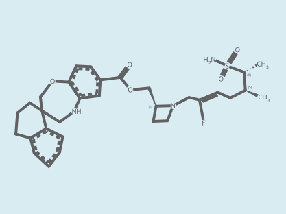 C[C@H]([C@@H](C)CC=C(F)CN1CC[C@H]1COC(=O)c1ccc2c(c1)NCC1(CCCc3ccccc31)CO2)S(N)(=O)=O